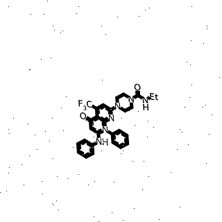 CCNC(=O)N1CCN(c2cc(C(F)(F)F)c3c(=O)cc(Nc4ccccc4)n(-c4ccccc4)c3n2)CC1